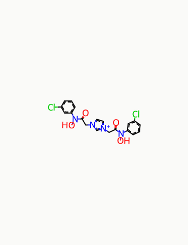 O=C(Cn1cc[n+](CC(=O)N(O)c2cccc(Cl)c2)c1)N(O)c1cccc(Cl)c1